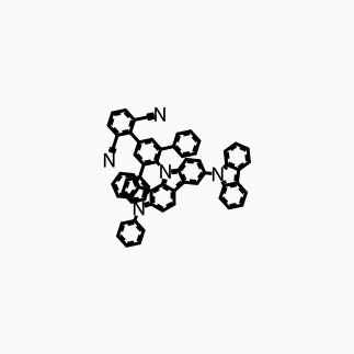 N#Cc1cccc(C#N)c1-c1cc(-c2ccccc2)c(-n2c3ccc(-n4c5ccccc5c5ccccc54)cc3c3ccc4c(c5ccccc5n4-c4ccccc4)c32)c(-c2ccccc2)c1